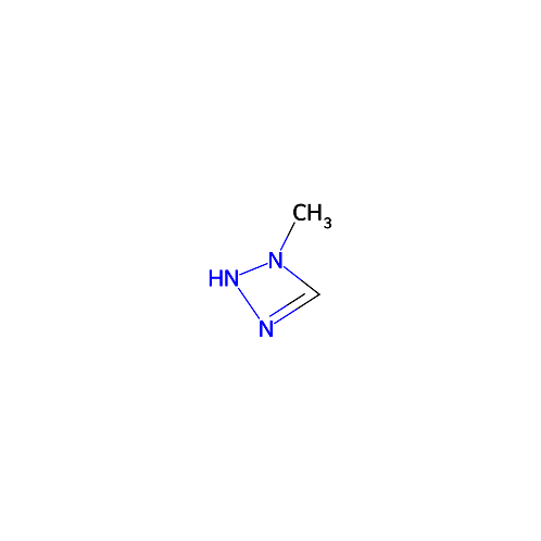 Cn1cn[nH]1